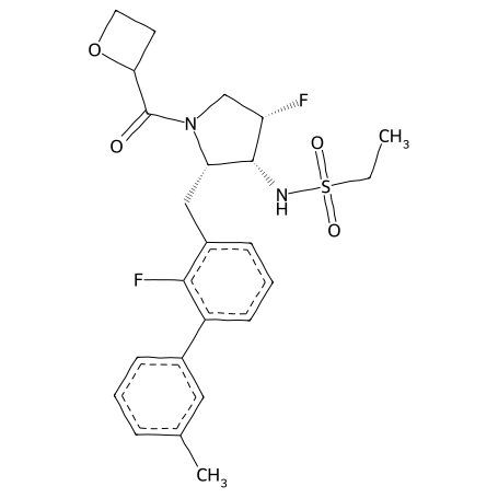 CCS(=O)(=O)N[C@H]1[C@@H](F)CN(C(=O)C2CCO2)[C@H]1Cc1cccc(-c2cccc(C)c2)c1F